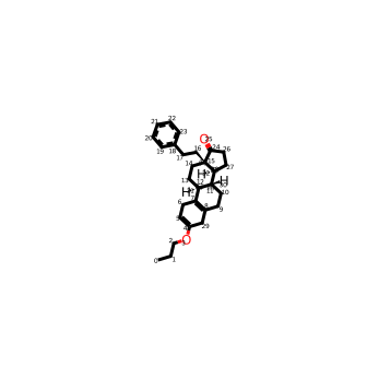 CCCOC1=CCC2=C(CC[C@@H]3[C@@H]2CC[C@]2(CCc4ccccc4)C(=O)CC[C@@H]32)C1